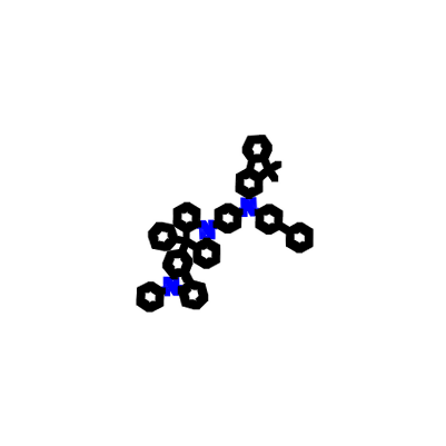 CC1(C)c2ccccc2-c2ccc(N(c3ccc(-c4ccccc4)cc3)c3ccc(N4c5ccccc5C(c5ccccc5)(c5ccc6c(c5)c5ccccc5n6-c5ccccc5)c5ccccc54)cc3)cc21